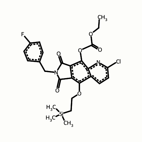 CCOC(=O)Oc1c2c(c(OCC[Si](C)(C)C)c3ccc(Cl)nc13)C(=O)N(Cc1ccc(F)cc1)C2=O